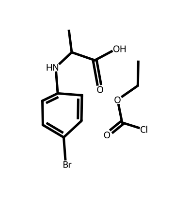 CC(Nc1ccc(Br)cc1)C(=O)O.CCOC(=O)Cl